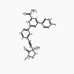 Cc1ccc(-c2cc(C(N)=O)nc(-c3cccc(C#C[C@]4(O)CCN(C)C4=O)c3)c2)cn1